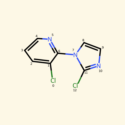 Clc1cccnc1-n1ccnc1Cl